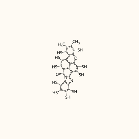 Cc1c(C)c(S)c2c(oc3c(S)c(S)c4c5c(c(S)c(S)c2c35)c(=O)n2c4nc3c(S)c(S)c(S)c(S)c32)c1S